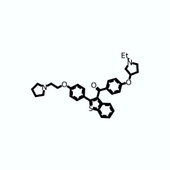 CCN1CCC(Oc2ccc(C(=O)c3c(-c4ccc(OCCN5CCCC5)cc4)sc4ccccc34)cc2)C1